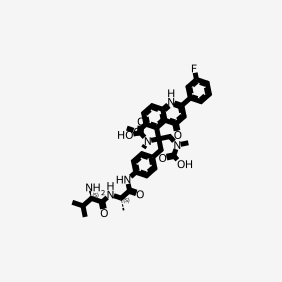 COc1ccc2[nH]c(-c3cccc(F)c3)cc(=O)c2c1C(Cc1ccc(NC(=O)[C@H](C)NC(=O)[C@@H](N)C(C)C)cc1)(CN(C)C(=O)O)N(C)C(=O)O